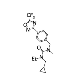 CCN(CC1CC1)C(=O)N(C)Cc1ccc(-c2noc(C(F)(F)F)n2)cc1